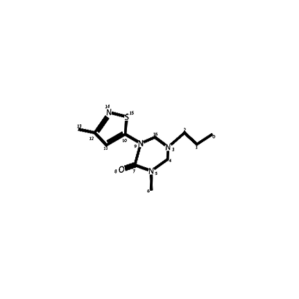 CCCN1CN(C)C(=O)N(c2cc(C)ns2)C1